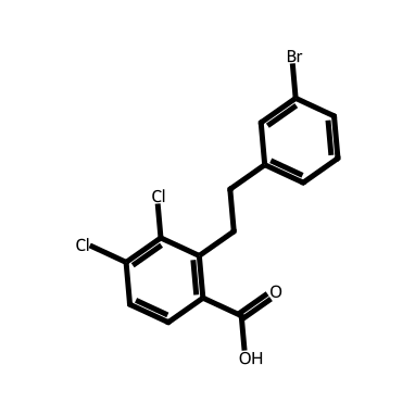 O=C(O)c1ccc(Cl)c(Cl)c1CCc1cccc(Br)c1